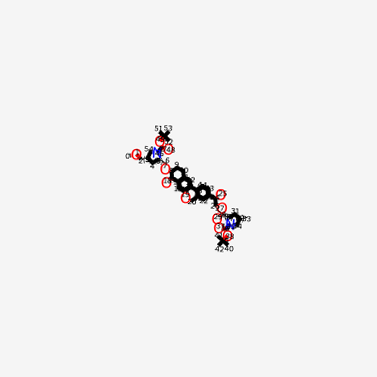 COC[C@H]1C[C@@H](COC2CCc3cc4c(cc3C2=O)OCc2cc(C(=O)COC(=O)[C@@H]3C[C@H](C)CN3C(=O)OC(C)(C)C)ccc2-4)N(C(=O)OC(C)(C)C)C1